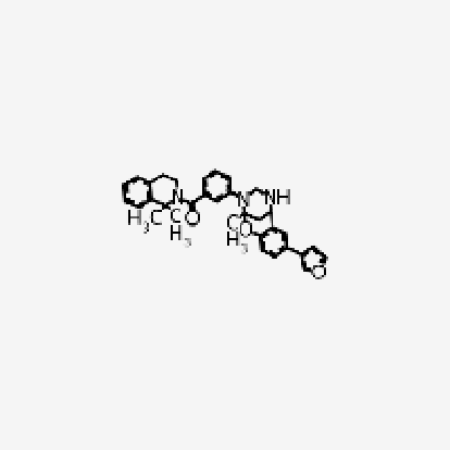 CC12CC(NCN1c1cccc(C(=O)N3CCc4ccccc4C3(C)C)c1)c1cc(-c3ccoc3)ccc1O2